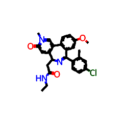 CCNC(=O)CC1N=C(c2ccc(Cl)cc2C)c2cc(OC)ccc2-c2cn(C)c(=O)cc21